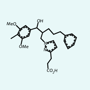 COc1cc(C(O)C(CCCc2ccccc2)Cn2ccc(CCC(=O)O)n2)cc(OC)c1C